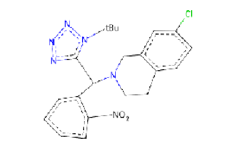 CC(C)(C)n1nnnc1C(c1ccccc1[N+](=O)[O-])N1CCc2ccc(Cl)cc2C1